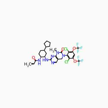 C=CC(=O)N[C@H]1CCC(C2CCCC2)C[C@H]1Nc1ncc2c(n1)N(C)C(=O)N(c1c(Cl)c(OC(F)(F)F)cc(OC(F)(F)F)c1Cl)C2